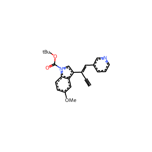 C#C/C(=C\c1cccnc1)c1cn(C(=O)OC(C)(C)C)c2ccc(OC)cc12